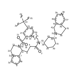 CN(C(=O)CCC1c2cccn2CCN1S(=O)(=O)c1cccc(C(F)(F)F)c1)[C@H]1CCC[C@@H](N2CCc3cnccc3C2)C1